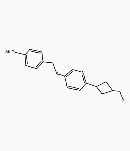 COc1ccc(CSc2ccc(C3CC(CF)C3)nc2)cc1